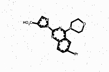 CC(C)c1ccc2nc(-n3cc(C(=O)O)cn3)nc(N3CCOCC3)c2c1